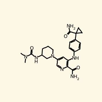 CN(C)C(=O)NC1CCCN(c2cnc(C(N)=O)c(Nc3ccc(C4(C(N)=O)CC4)cc3)c2)C1